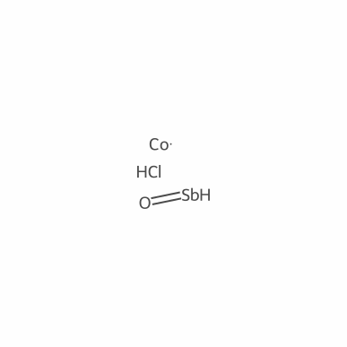 Cl.[Co].[O]=[SbH]